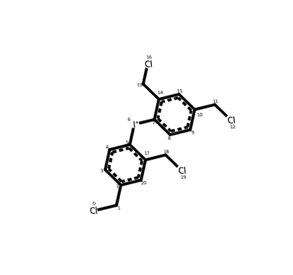 ClCc1ccc([I+]c2ccc(CCl)cc2CCl)c(CCl)c1